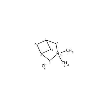 C[N+]1(C)CC2CC(C2)C1.[Cl-]